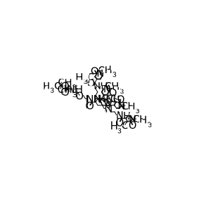 Cc1c(C(=O)NCCCN(CCCC(C(=O)NCCOCCNC(=O)OC(C)(C)C)N(CCCNC(=O)c2ccn(C)c(=O)c2C)C(=O)c2ccn(C)c(=O)c2C)C(=O)c2ccn(C)c(=O)c2C)ccn(C)c1=O